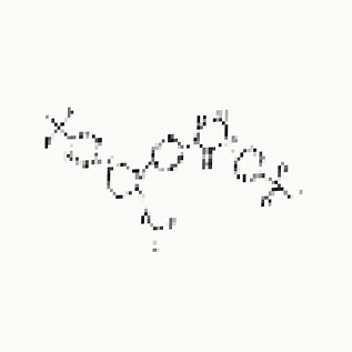 CCS(=O)(=O)c1ccc([C@H](CO)NC(=O)c2ccc(N3C[C@@H](c4ccc(C(F)(F)F)nc4)CCC3COC(F)F)cc2)cc1